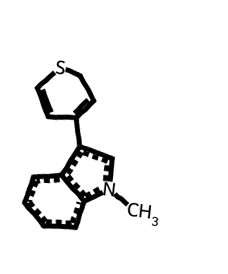 Cn1cc(C2=CCSC=C2)c2ccccc21